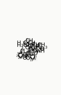 CO[C@@H]1[C@H](O[Si](C)(C)C(C)(C)C)[C@@H](CCP(=O)(Oc2ccccc2Cl)Oc2ccccc2Cl)O[C@H]1n1cc(C)c(=O)[nH]c1=O